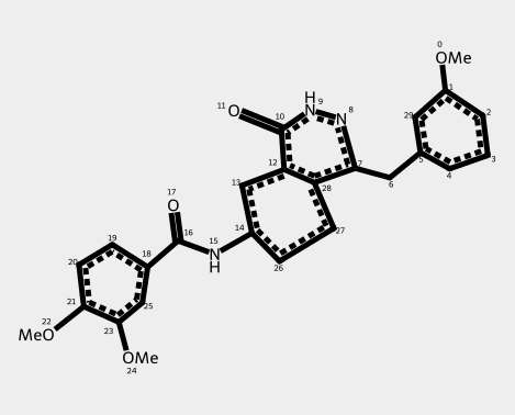 COc1cccc(Cc2n[nH]c(=O)c3cc(NC(=O)c4ccc(OC)c(OC)c4)ccc23)c1